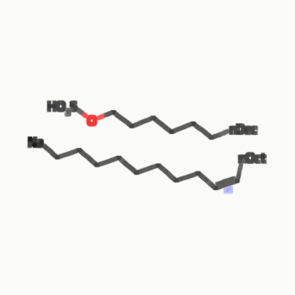 CCCCCCCC/C=C\CCCCCCC[CH2][Na].CCCCCCCCCCCCCCCCOS(=O)(=O)O